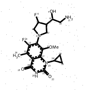 COc1c(N2CC(F)C(C(O)CN)C2)c(F)c(C)c2c(=O)[nH]c(=O)n(C3CC3)c12